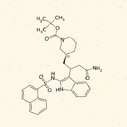 CC(C)(C)OC(=O)N1CCC[C@@H](CC(CC(N)=O)c2c(NS(=O)(=O)c3cccc4ccccc34)[nH]c3ccccc23)C1